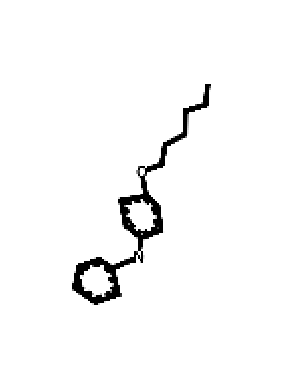 CCCCCCOc1ccc([N]c2ccccc2)cc1